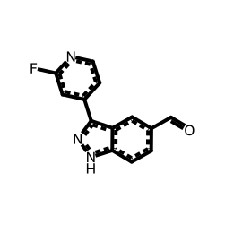 O=Cc1ccc2[nH]nc(-c3ccnc(F)c3)c2c1